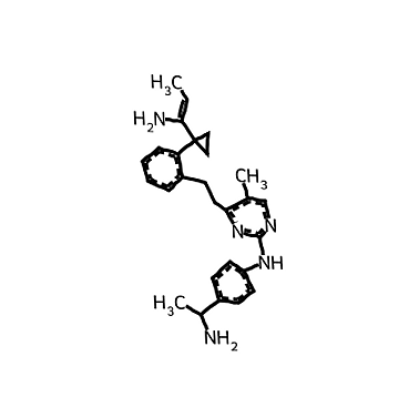 CC=C(N)C1(c2ccccc2CCc2nc(Nc3ccc(C(C)N)cc3)ncc2C)CC1